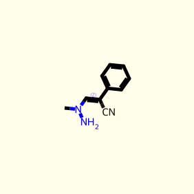 CN(N)/C=C(\C#N)c1ccccc1